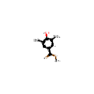 CCCSC(=S)c1cc(C(C)(C)C)c(O)c(C(C)(C)C)c1